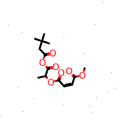 COC(=O)/C=C\C(=O)OC(C)C(=O)OC(=O)CC(C)(C)C